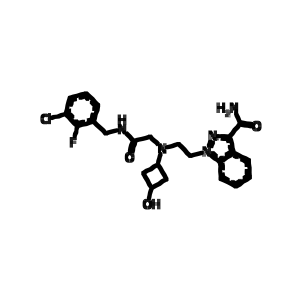 NC(=O)c1nn(CCN(CC(=O)NCc2cccc(Cl)c2F)C2CC(O)C2)c2ccccc12